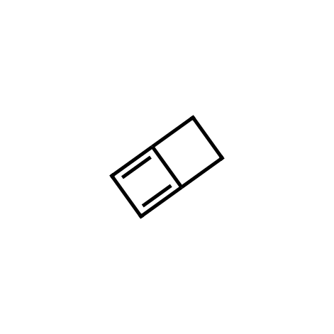 C1=C2CCC2=C1